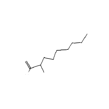 CCCCCCCC([O])C(=O)O